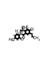 CCCc1cc(C(=O)Nc2ccc(O)cc2Cl)c(N(C)C)c(F)c1Cl